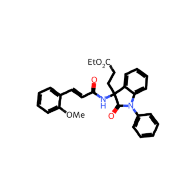 CCOC(=O)CCC1(NC(=O)C=Cc2ccccc2OC)C(=O)N(c2ccccc2)c2ccccc21